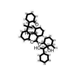 CC1CCCC([C](OC2CCCC(C(C)(C)C3CCCCC3=O)C2O)OC2CCCC(C)C2(O)C(O)C2CCCCC2)C1O